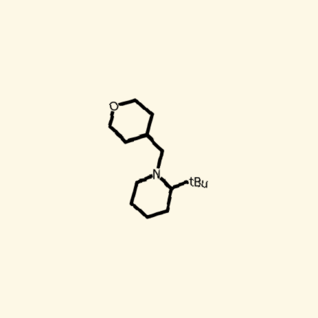 CC(C)(C)C1CCCCN1CC1CCOCC1